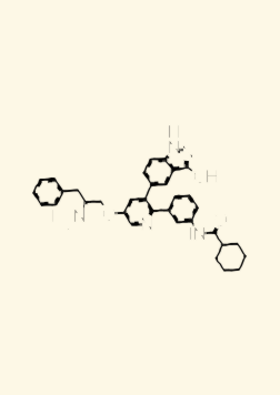 Cc1n[nH]c2ccc(-c3cc(OC[C@@H](N)Cc4ccccc4)cnc3-c3cccc(NC(=O)C4CCCCC4)c3)cc12